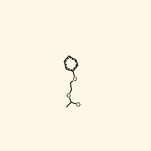 CC([O])OCCOc1ccccc1